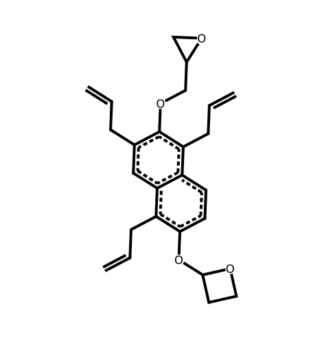 C=CCc1cc2c(CC=C)c(OC3CCO3)ccc2c(CC=C)c1OCC1CO1